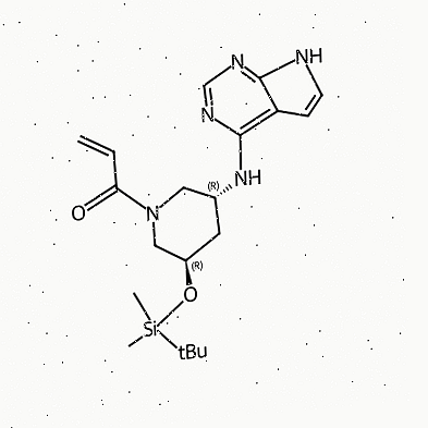 C=CC(=O)N1C[C@H](Nc2ncnc3[nH]ccc23)C[C@@H](O[Si](C)(C)C(C)(C)C)C1